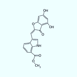 COC(=O)c1cccc2c(/C=C3/Oc4cc(O)cc(O)c4C3=O)c[nH]c12